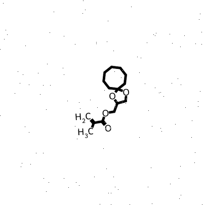 C=C(C)C(=O)OCC1COC2(CCCCCCC2)O1